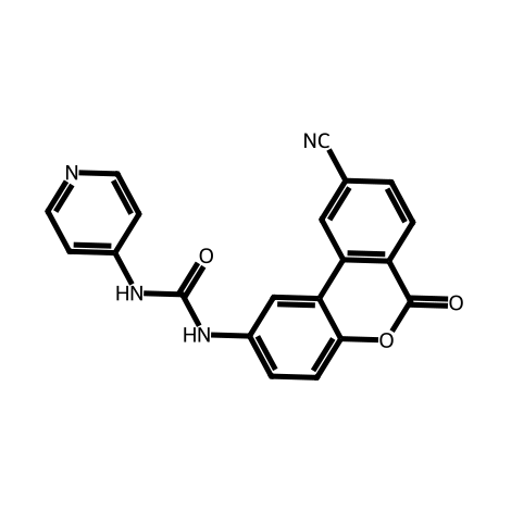 N#Cc1ccc2c(=O)oc3ccc(NC(=O)Nc4ccncc4)cc3c2c1